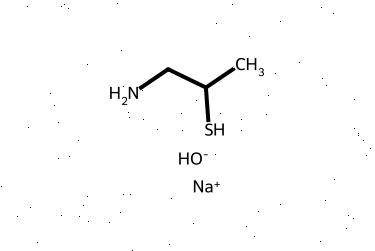 CC(S)CN.[Na+].[OH-]